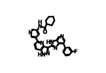 O=C(Nc1cncc(-c2ccc3[nH]nc(-c4nc5c(-c6cccc(F)c6)cncc5[nH]4)c3n2)c1)C1CCCCC1